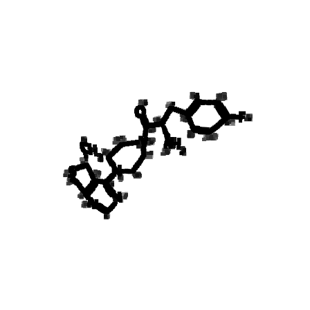 C[C@H]1SCc2ncnc(N3CCN(C(=O)[C@H](N)Cc4ccc(F)cc4)CC3)c21